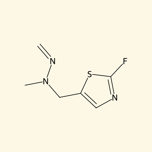 C=NN(C)Cc1cnc(F)s1